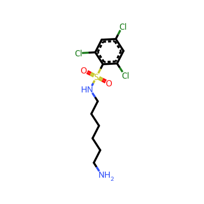 NCCCCCCNS(=O)(=O)c1c(Cl)cc(Cl)cc1Cl